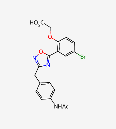 CC(=O)Nc1ccc(Cc2noc(-c3cc(Br)ccc3OCC(=O)O)n2)cc1